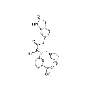 CN(C(=O)Cc1ccc2c(c1)NC(=O)C2)[C@H](CN1CC[C@@H](F)C1)c1cccc(C(=O)O)c1